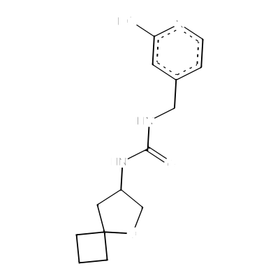 O=C(NCc1ccnc(O)c1)NC1COC2(CCC2)C1